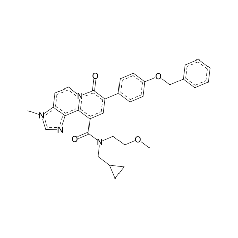 COCCN(CC1CC1)C(=O)c1cc(-c2ccc(OCc3ccccc3)cc2)c(=O)n2ccc3c(ncn3C)c12